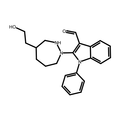 O=Cc1c(N2CCCC(CCO)CN2)n(-c2ccccc2)c2ccccc12